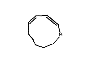 C1=C\CCC[CH2][Ni]\[CH]=C/1